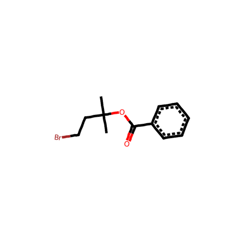 CC(C)(CCBr)OC(=O)c1ccccc1